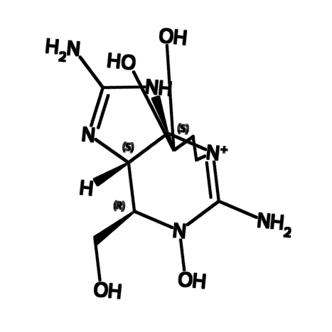 NC1=N[C@H]2[C@H](CO)N(O)C(N)=[N+]3CCC(O)(O)[C@]23N1